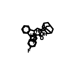 O=C(Nc1ccc(F)cc1)NC12CC3CC(C1)C([C@@H](O)CC1c4ccccc4-c4cncn41)C(C3)C2